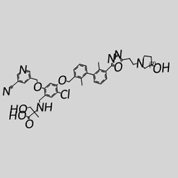 Cc1c(COc2cc(OCc3cncc(C#N)c3)c(CNC(C)(CO)C(=O)O)cc2Cl)cccc1-c1cccc(-c2nnc(CCN3CC[C@@H](O)C3)o2)c1C